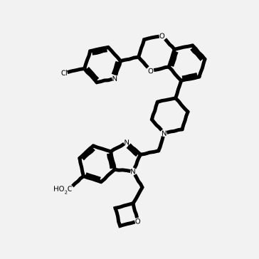 O=C(O)c1ccc2nc(CN3CCC(c4cccc5c4OC(c4ccc(Cl)cn4)CO5)CC3)n(CC3CCO3)c2c1